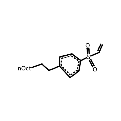 C=CS(=O)(=O)c1ccc(CCCCCCCCCC)cc1